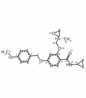 COc1ccc(COc2ccc(C(=O)NC3CC3)c(OC[C@]3(C)CO3)c2)cc1